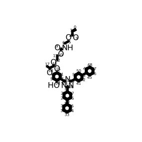 C=CC(=O)OCCNC(=O)OCCOC(=O)C(C)Oc1ccc(-c2nc(-c3ccc(-c4ccccc4)cc3)nc(-c3ccc(-c4ccccc4)cc3)n2)c(O)c1